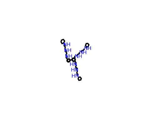 c1cc(CNCCCNCCCNC2CCCCC2)cc(-c2cc(CNCCCNCCCNC3CCCCC3)cc(CNCCCNCCCNC3CCCCC3)c2)c1